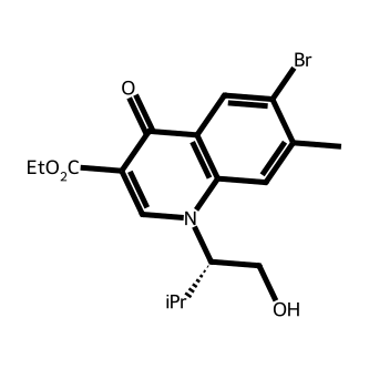 CCOC(=O)c1cn([C@H](CO)C(C)C)c2cc(C)c(Br)cc2c1=O